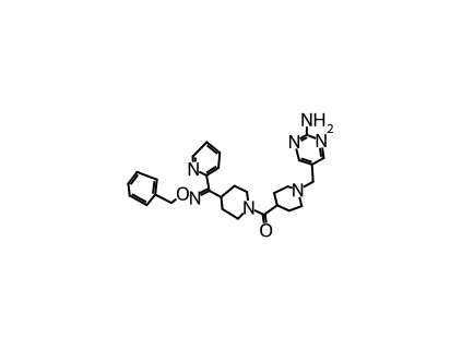 Nc1ncc(CN2CCC(C(=O)N3CCC(C(=NOCc4ccccc4)c4ccccn4)CC3)CC2)cn1